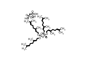 CC(C)=CCC/C(C)=C/COP(=O)(OC/C=C(\C)CCC=C(C)C)OP(=O)(OC/C=C(\C)CCC=C(C)C)OC/C=C(\C)CCC=C(C)C.O=P(O)(O)OP(=O)(O)O